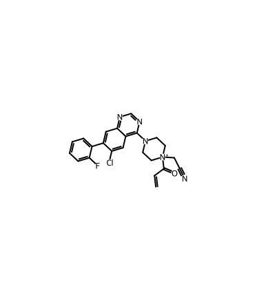 C=CC(=O)[N+]1(CC#N)CCN(c2ncnc3cc(-c4ccccc4F)c(Cl)cc23)CC1